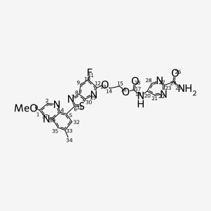 COc1cnc2c(-c3nc4cc(F)c(OCCOC(=O)Nc5cnc(C(N)=O)nc5)nc4s3)cc(C)cc2n1